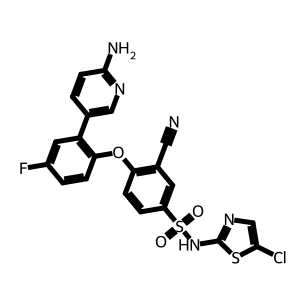 N#Cc1cc(S(=O)(=O)Nc2ncc(Cl)s2)ccc1Oc1ccc(F)cc1-c1ccc(N)nc1